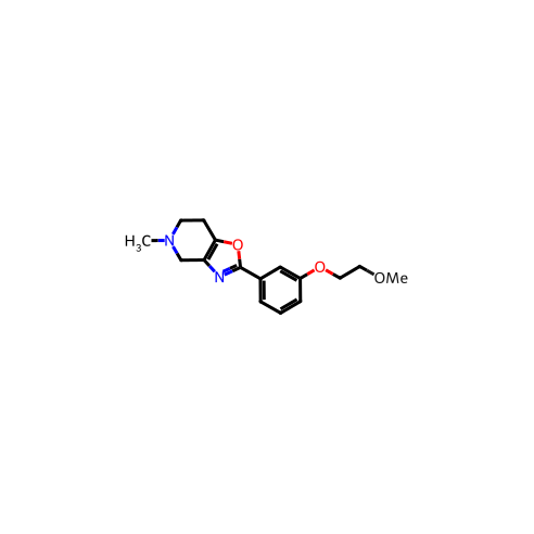 COCCOc1cccc(-c2nc3c(o2)CCN(C)C3)c1